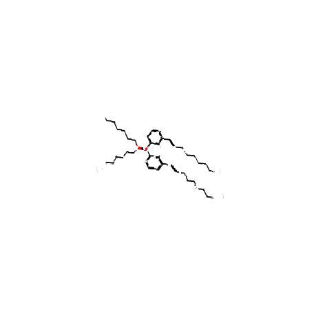 CCCCCCCC=Cc1cccc(C=CCCCCCCC)c1Oc1c(C=CCCCCCCC)cccc1C=CCCCCCCC